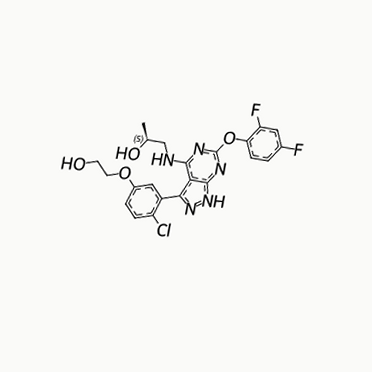 C[C@H](O)CNc1nc(Oc2ccc(F)cc2F)nc2[nH]nc(-c3cc(OCCO)ccc3Cl)c12